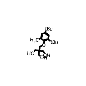 Cc1cc(C(C)(C)C)cc(C(C)(C)C)c1OCC(CO)(CO)CO